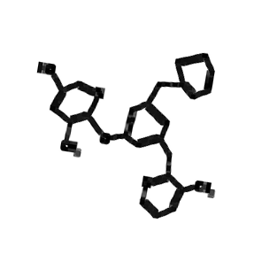 Cc1cccnc1Cc1cc(Cc2ccccc2)cc(Oc2ncc(O)cc2C)c1